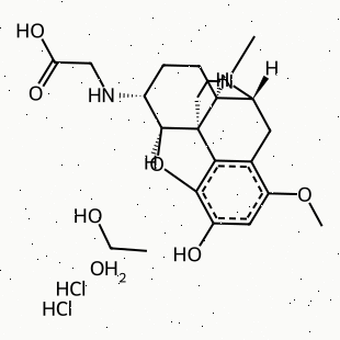 CCO.COc1cc(O)c2c3c1C[C@@H]1[C@@H]4CC[C@@H](NCC(=O)O)[C@H](O2)[C@]34CCN1C.Cl.Cl.O